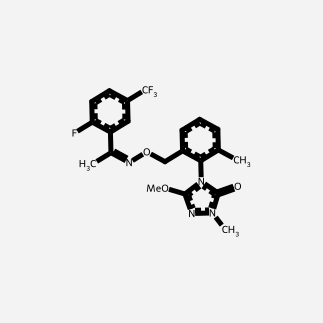 COc1nn(C)c(=O)n1-c1c(C)cccc1CON=C(C)c1cc(C(F)(F)F)ccc1F